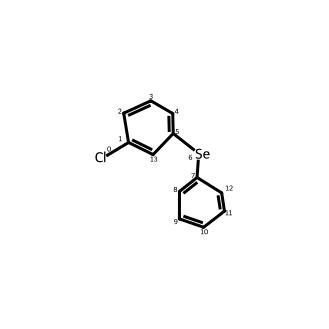 Clc1cccc([Se]c2ccccc2)c1